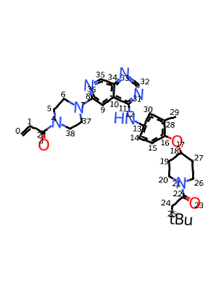 C=CC(=O)N1CCN(c2cc3c(Nc4ccc(OC5CCN(C(=O)CC(C)(C)C)CC5)c(C)c4)ncnc3cn2)CC1